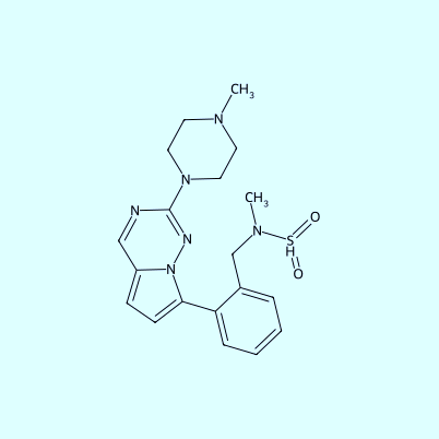 CN1CCN(c2ncc3ccc(-c4ccccc4CN(C)[SH](=O)=O)n3n2)CC1